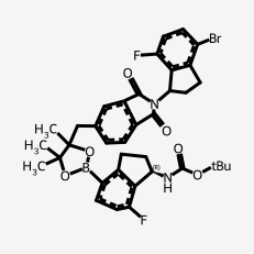 CC(C)(C)OC(=O)N[C@@H]1CCc2c(B3OC(C)(C)C(C)(Cc4ccc5c(c4)C(=O)N(C4CCc6c(Br)ccc(F)c64)C5=O)O3)ccc(F)c21